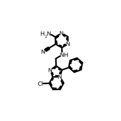 N#Cc1c(N)ncnc1NCc1nc2c(Cl)cccn2c1-c1ccccc1